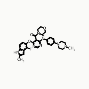 Cc1cc2c(F)c(Oc3ncnc(Nc4ccc(N5CCN(C)CC5)cc4)c3C(=O)N3CCOCC3)ccc2[nH]1